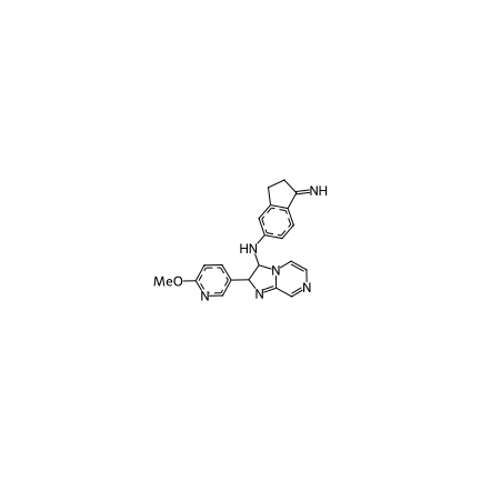 COc1ccc(C2N=C3C=NC=CN3C2Nc2ccc3c(c2)CCC3=N)cn1